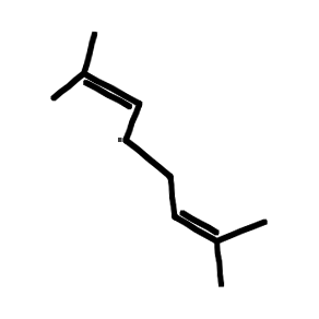 CC(C)=C[CH]CC=C(C)C